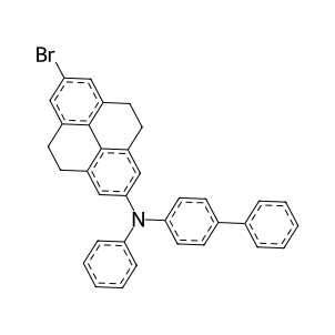 Brc1cc2c3c(c1)CCc1cc(N(c4ccccc4)c4ccc(-c5ccccc5)cc4)cc(c1-3)CC2